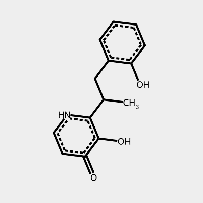 CC(Cc1ccccc1O)c1[nH]ccc(=O)c1O